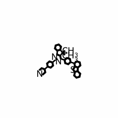 CC1(C)c2ccccc2-c2nc(-c3ccc(-c4ccncc4)cc3)nc(-c3ccc(-c4cccc5c4sc4ccccc45)cc3)c21